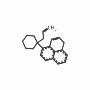 C=CCC1(c2ccc3cccc4c3c2C=CC4)CCCCC1